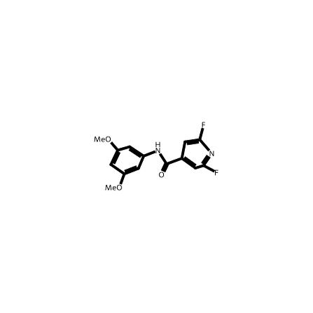 COc1cc(NC(=O)c2cc(F)nc(F)c2)cc(OC)c1